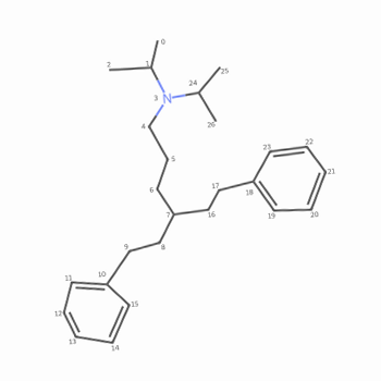 CC(C)N(CCCC(CCc1ccccc1)CCc1ccccc1)C(C)C